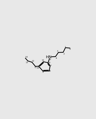 CCCCCNc1cccc(CCCC)c1